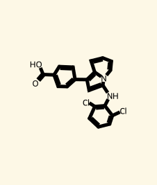 O=C(O)c1ccc(-c2cc(Nc3c(Cl)cccc3Cl)n3ccccc23)cc1